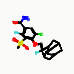 CS(=O)(=O)c1c(F)c(C(N)=O)cc(Cl)c1OCC1(F)C2CC3CC(C2)CC1C3